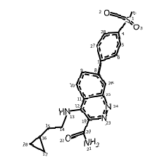 CS(=O)(=O)c1ccc(-c2ccc3c(NCCC4CC4)c(C(N)=O)nnc3c2)cc1